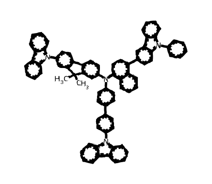 CC1(C)c2cc(N(c3ccc(-c4ccc(-n5c6ccccc6c6ccccc65)cc4)cc3)c3ccc(-c4ccc5c(c4)c4ccccc4n5-c4ccccc4)c4ccccc34)ccc2-c2ccc(-n3c4ccccc4c4ccccc43)cc21